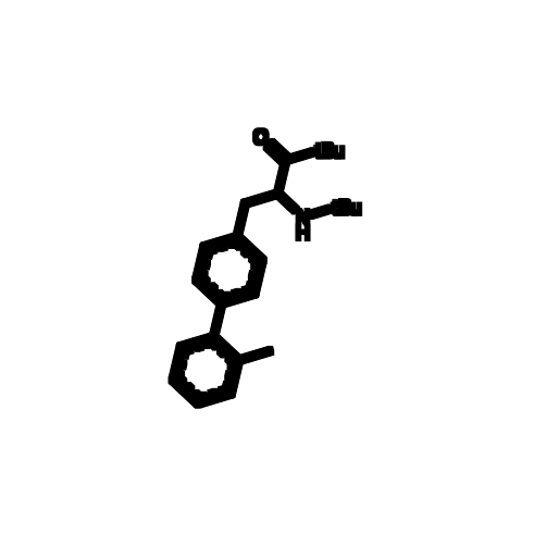 Cc1ccccc1-c1ccc(CC(NC(C)(C)C)C(=O)C(C)(C)C)cc1